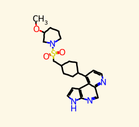 COC1CCCN(S(=O)(=O)CC2CCC(c3ccnc4cnc5[nH]ccc5c34)CC2)C1